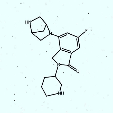 O=C1c2cc(F)cc(N3CC4CC3CN4)c2CN1C1CCCNC1